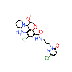 COC1COc2c(C(=O)NCCCn3nc(Cl)ccc3=O)cc(Cl)c(N)c2C1N1CCCCC1